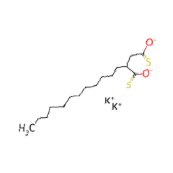 CCCCCCCCCCCCC(CC([O-])=S)C([O-])=S.[K+].[K+]